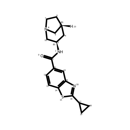 O=C(N[C@@H]1C[C@H]2CCN(C2)C1)c1ccc2sc(C3CC3)nc2c1